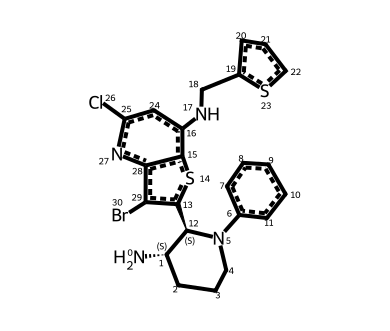 N[C@H]1CCCN(c2ccccc2)[C@@H]1c1sc2c(NCc3cccs3)cc(Cl)nc2c1Br